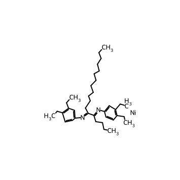 CCCCCCCCCCCCC(=Nc1ccc(CC)c(CC)c1)C(CCCC)=Nc1ccc(CC)c(CC)c1.[Ni]